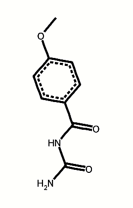 COc1ccc(C(=O)NC(N)=O)cc1